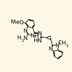 COc1cccc2/c(=N/C(=N)C3CC3c3nc4ccccc4n3C)[nH]c(N)nc12